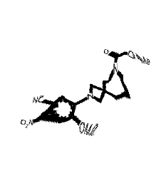 COC(=O)N1CCCC2(C1)CN(c1cc(C#N)c([N+](=O)[O-])cc1OC)C2